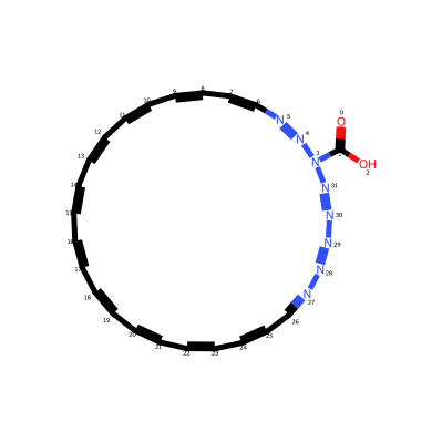 O=C(O)n1nncccccccccccccccccccccnnnnn1